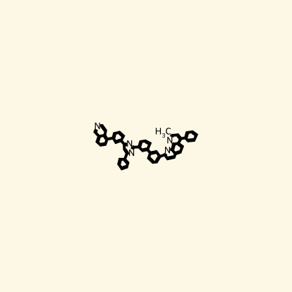 Cc1cc(-c2ccccc2)c2ccc3ccc(-c4cccc(-c5cccc(-c6nc(-c7ccccc7)cc(-c7cccc(-c8cccc9cnccc89)c7)n6)c5)c4)nc3c2n1